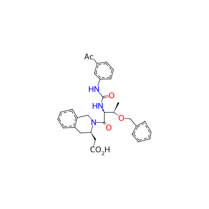 CC(=O)c1cccc(NC(=O)N[C@H](C(=O)N2Cc3ccccc3C[C@@H]2CC(=O)O)[C@@H](C)OCc2ccccc2)c1